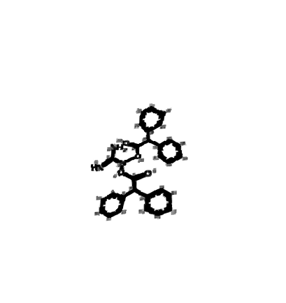 N=C(N)N(OC(=O)C(c1ccccc1)c1ccccc1)OC(=O)C(c1ccccc1)c1ccccc1